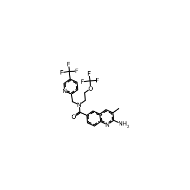 Cc1cc2cc(C(=O)N(CCOC(F)(F)F)Cc3ccc(C(F)(F)F)cn3)ccc2nc1N